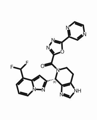 O=C(c1nnc(-c2cnccn2)o1)N1CCc2[nH]cnc2[C@@H]1c1cc2c(C(F)F)cccn2n1